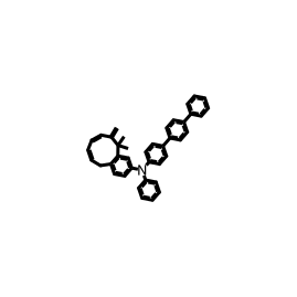 C=C1/C=C\C=C/Cc2ccc(N(c3ccccc3)c3ccc(-c4ccc(-c5ccccc5)cc4)cc3)cc2C1(C)C